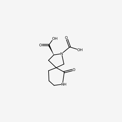 O=C(O)[C@@H]1CC2(CCCNC2=O)CN1C(=O)O